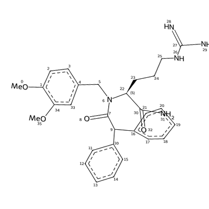 COc1ccc(CN(C(=O)C(c2ccccc2)c2ccccc2)[C@@H](CCCNC(=N)N)C(N)=O)cc1OC